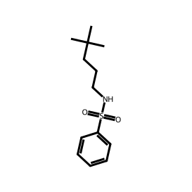 CC(C)(C)CCCNS(=O)(=O)c1ccccc1